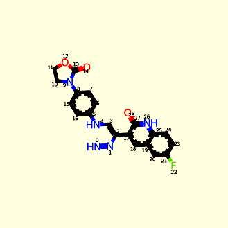 N=N/C(=C\Nc1ccc(N2CCOC2=O)cc1)c1cc2cc(F)ccc2[nH]c1=O